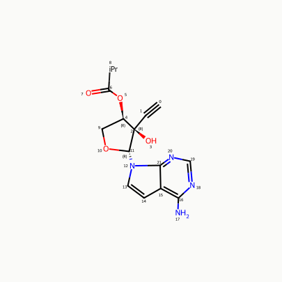 C#C[C@@]1(O)[C@H](OC(=O)C(C)C)CO[C@H]1n1ccc2c(N)ncnc21